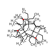 CC[Si](CC)(CC)[C](C(C)C)([Cr]([C](C(C)C)([Si](CC)(CC)CC)[Si](CC)(CC)CC)[C](C(C)C)([Si](CC)(CC)CC)[Si](CC)(CC)CC)[Si](CC)(CC)CC